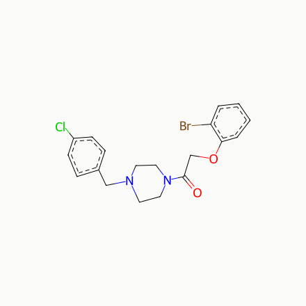 O=C(COc1ccccc1Br)N1CCN(Cc2ccc(Cl)cc2)CC1